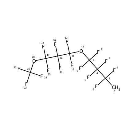 CC(F)(F)C(F)(F)C(F)(F)OC(F)(F)C(F)(F)C(F)(F)OC(F)(F)F